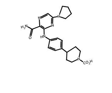 NC(=O)c1ncc(N2CCCC2)nc1Nc1ccc(C2CCN(C(=O)O)CC2)cc1